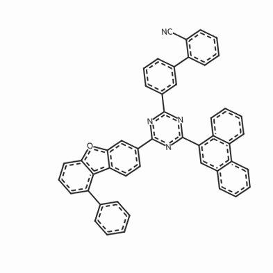 N#Cc1ccccc1-c1cccc(-c2nc(-c3ccc4c(c3)oc3cccc(-c5ccccc5)c34)nc(-c3cc4ccccc4c4ccccc34)n2)c1